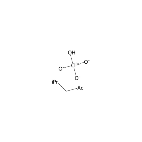 CC(=O)CC(C)C.[O-][Cl+3]([O-])([O-])O